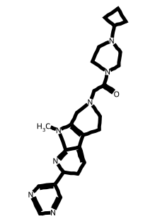 Cn1c2c(c3c1=NC(c1cncnc1)CC=3)CCN(CC(=O)N1CCN(C3CCC3)CC1)C2